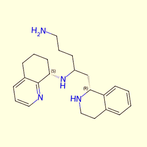 NCCCC(C[C@H]1NCCc2ccccc21)N[C@H]1CCCc2cccnc21